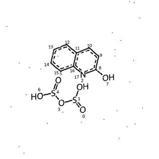 O=S(O)OS(=O)O.Oc1ccc2ccccc2n1